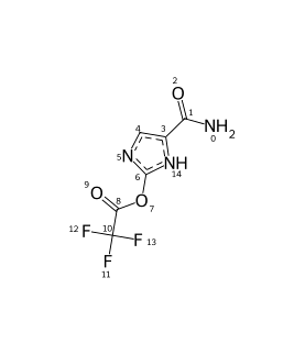 NC(=O)c1cnc(OC(=O)C(F)(F)F)[nH]1